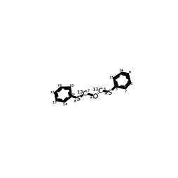 c1ccc(S[13CH2]O[13CH2]Sc2ccccc2)cc1